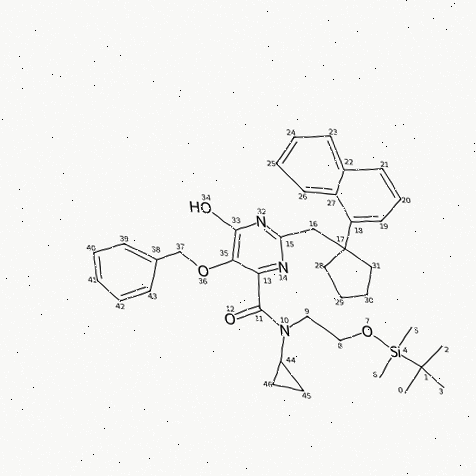 CC(C)(C)[Si](C)(C)OCCN(C(=O)c1nc(CC2(c3cccc4ccccc34)CCCC2)nc(O)c1OCc1ccccc1)C1CC1